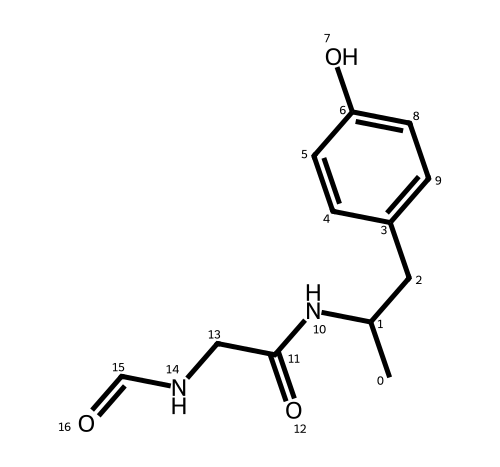 CC(Cc1ccc(O)cc1)NC(=O)CNC=O